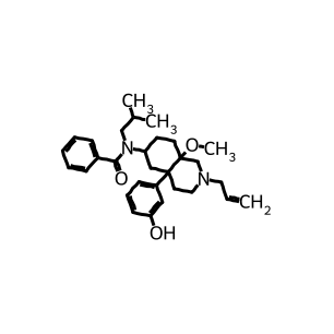 C=CCN1CCC2(c3cccc(O)c3)CC(N(CC(C)C)C(=O)c3ccccc3)CCC2(OC)C1